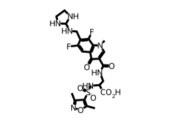 Cc1noc(C)c1S(=O)(=O)NC(CNC(=O)c1cn(C)c2c(F)c(CNC3NCCN3)c(F)cc2c1=O)C(=O)O